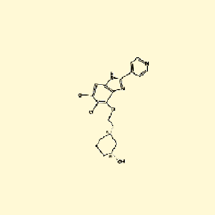 O[C@@H]1CCC[C@H](CCOc2c(Cl)c(Cl)cc3[nH]c(-c4ccncc4)nc23)C1